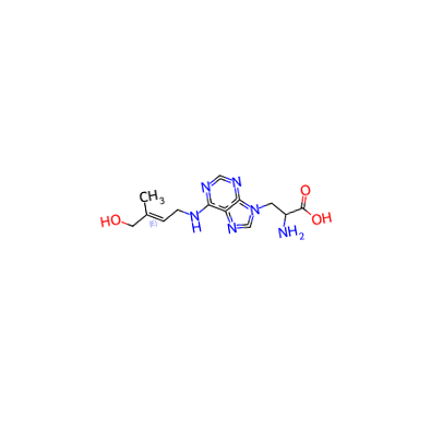 C/C(=C\CNc1ncnc2c1ncn2CC(N)C(=O)O)CO